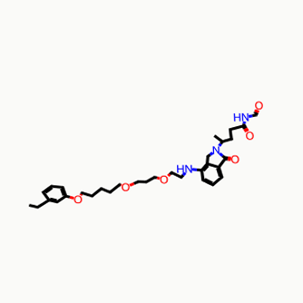 CCc1cccc(OCCCCCOCCCOCCNc2cccc3c2CN(C(C)CCC(=O)NC=O)C3=O)c1